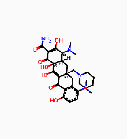 CN(C)c1ccc(O)c2c1C[C@@]1(CN3CCCCC3)C[C@H]3[C@H](N(C)C)C(O)=C(C(N)=O)C(=O)[C@@]3(O)C(O)=C1C2=O